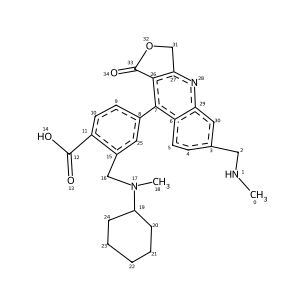 CNCc1ccc2c(-c3ccc(C(=O)O)c(CN(C)C4CCCCC4)c3)c3c(nc2c1)COC3=O